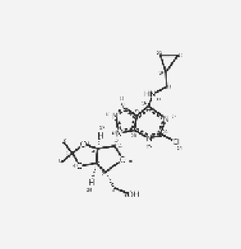 CC1(C)O[C@@H]2[C@H](O1)[C@@H](CO)O[C@H]2n1nnc2c(NCC3CC3)nc(Cl)nc21